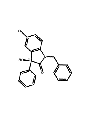 O=C1N(Cc2ccccc2)c2ccc(Cl)cc2[C@@]1(O)c1ccccc1